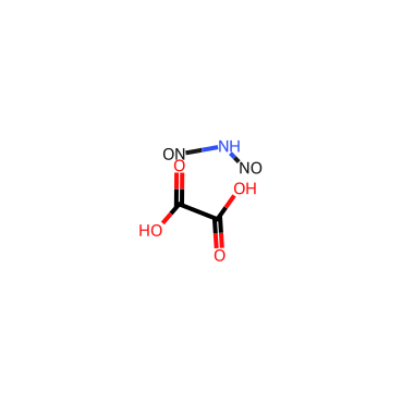 O=C(O)C(=O)O.O=NNN=O